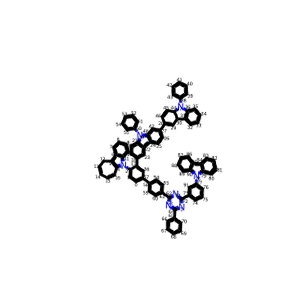 C1=C=C(n2c3c(c4ccccc42)CC=CC=C3)C(c2ccc3c(c2)c2ccc(C4=CC5c6ccccc6N(c6ccccc6)C5C=C4)cc2n3-c2ccccc2)=CC=1c1ccc(-c2nc(-c3ccccc3)nc(-c3cccc(-n4c5c#cccc5c5ccccc54)c3)n2)cc1